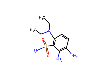 CCN(CC)c1ccc(N)c(N)c1S(N)(=O)=O